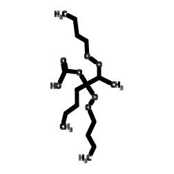 CCCCOOC(C)C(CCCC)(OOCCCC)OC(=O)O